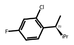 CC(C)[C@H](C)c1ccc(F)cc1Cl